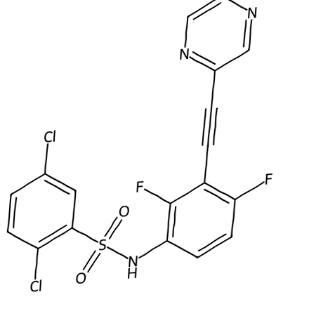 O=S(=O)(Nc1ccc(F)c(C#Cc2cnccn2)c1F)c1cc(Cl)ccc1Cl